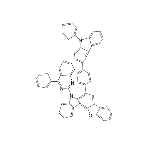 c1ccc(-c2nc(-n3c4ccccc4c4c5oc6ccccc6c5cc(-c5ccc(-c6ccc7c(c6)c6ccccc6n7-c6ccccc6)cc5)c43)nc3ccccc23)cc1